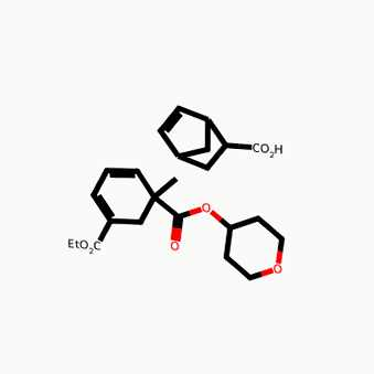 CCOC(=O)C1=CC=CC(C)(C(=O)OC2CCOCC2)C1.O=C(O)C1CC2C=CC1C2